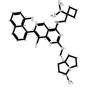 C[C@H]1CC[C@@]2(COc3nc(NCC4(N(C)C)CCC4)c4cnc(-c5cccc6cccc(Cl)c56)c(F)c4n3)CCCN12